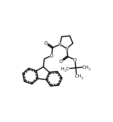 CC(C)(C)OC(=O)N1CCCN1C(=O)OCC1c2ccccc2-c2ccccc21